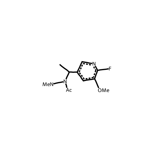 CNN(C(C)=O)C(C)c1cnc(F)c(OC)c1